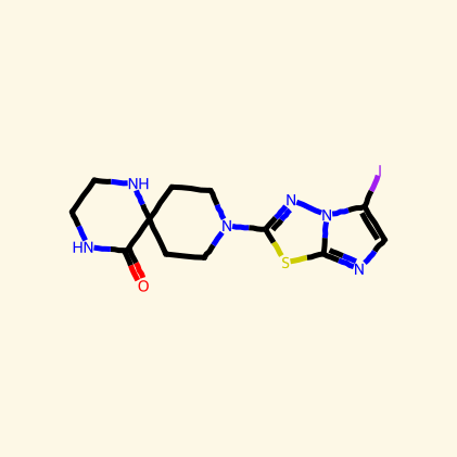 O=C1NCCNC12CCN(c1nn3c(I)cnc3s1)CC2